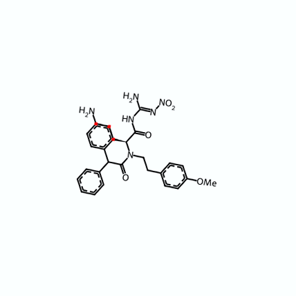 COc1ccc(CCN(C(=O)C(c2ccccc2)c2ccccc2)[C@@H](CCCN)C(=O)NC(N)=N[N+](=O)[O-])cc1